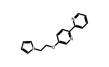 c1ccc(-c2ccc(OCCn3cccc3)cn2)nc1